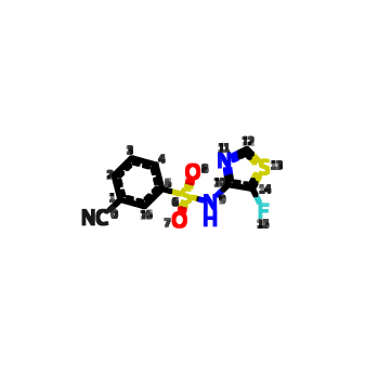 N#Cc1cccc(S(=O)(=O)Nc2ncsc2F)c1